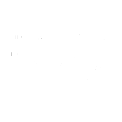 CC1(C)OC2OC3C(OC=O)C(=O)OC3C2O1